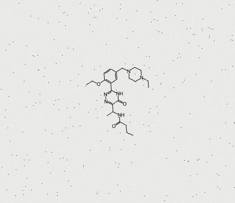 CCCC(=O)NC(C)c1nnc(-c2cc(CN3CCN(CC)CC3)ccc2OCC)[nH]c1=O